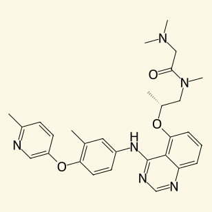 Cc1ccc(Oc2ccc(Nc3ncnc4cccc(O[C@H](C)CN(C)C(=O)CN(C)C)c34)cc2C)cn1